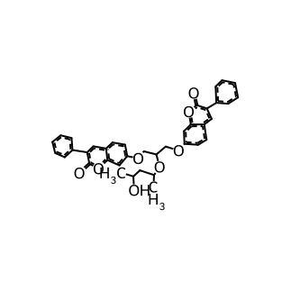 CC(O)CC(C)OC(COc1ccc2cc(-c3ccccc3)c(=O)oc2c1)COc1ccc2cc(-c3ccccc3)c(=O)oc2c1